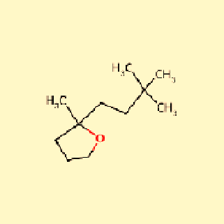 CC(C)(C)CCC1(C)CCCO1